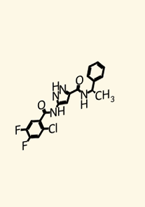 C[C@@H](NC(=O)c1cc(NC(=O)c2cc(F)c(F)cc2Cl)[nH]n1)c1ccccc1